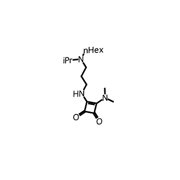 CCCCCCN(CCCNc1c(N(C)C)c(=O)c1=O)C(C)C